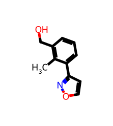 Cc1c(CO)cccc1-c1ccon1